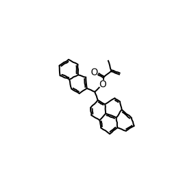 C=C(C)C(=O)OC(c1ccc2ccccc2c1)c1ccc2ccc3cccc4ccc1c2c34